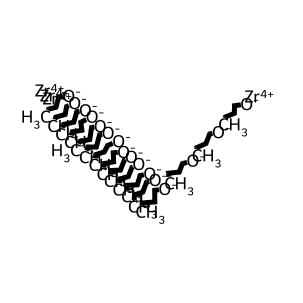 CCCC[O-].CCCC[O-].CCCC[O-].CCCC[O-].CCCC[O-].CCCC[O-].CCCC[O-].CCCC[O-].CCCC[O-].CCCC[O-].CCCC[O-].CCCC[O-].CCCC[O-].CCCC[O-].CCCC[O-].CCCC[O-].[Zr+4].[Zr+4].[Zr+4].[Zr+4]